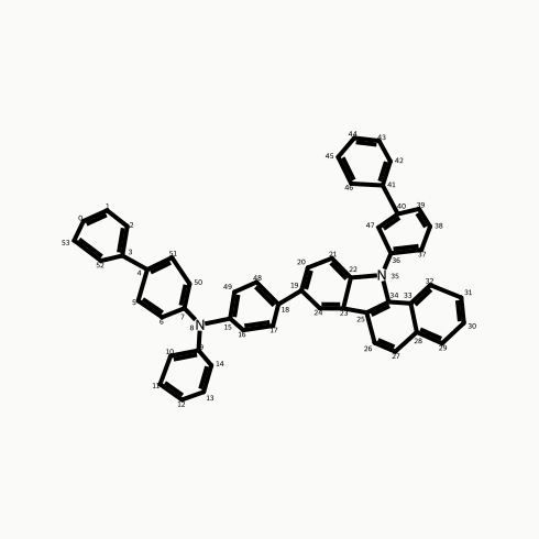 c1ccc(-c2ccc(N(c3ccccc3)c3ccc(-c4ccc5c(c4)c4ccc6ccccc6c4n5-c4cccc(-c5ccccc5)c4)cc3)cc2)cc1